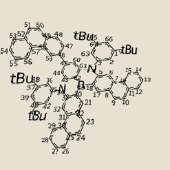 CC(C)(C)c1cc(N2c3cc4c(ccc5ccccc54)cc3B3c4cc5ccc6ccccc6c5cc4N(c4cc(C(C)(C)C)cc(C(C)(C)C)c4)c4cc(-c5ccc6ccc7ccccc7c6c5)cc2c43)cc(C(C)(C)C)c1